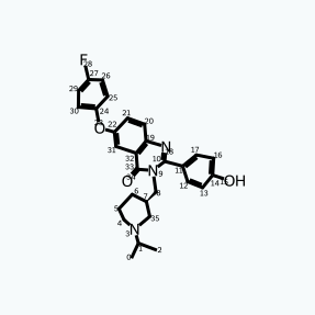 CC(C)N1CCC[C@@H](Cn2c(-c3ccc(O)cc3)nc3ccc(Oc4ccc(F)cc4)cc3c2=O)C1